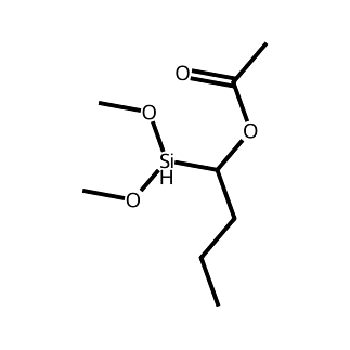 CCCC(OC(C)=O)[SiH](OC)OC